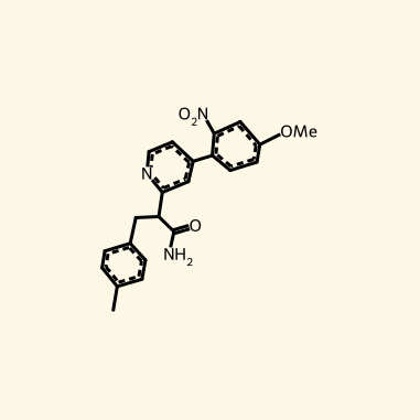 COc1ccc(-c2ccnc(C(Cc3ccc(C)cc3)C(N)=O)c2)c([N+](=O)[O-])c1